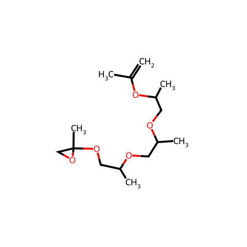 C=C(C)OC(C)COC(C)COC(C)COC1(C)CO1